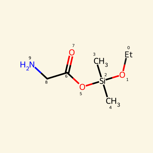 CCO[Si](C)(C)OC(=O)CN